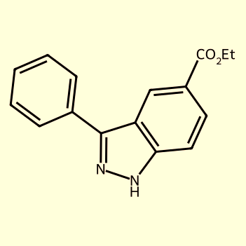 CCOC(=O)c1ccc2[nH]nc(-c3ccccc3)c2c1